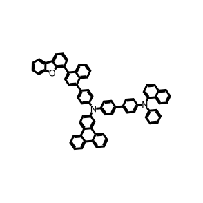 c1ccc(N(c2ccc(-c3ccc(N(c4ccc(-c5ccc(-c6cccc7c6oc6ccccc67)c6ccccc56)cc4)c4ccc5c6ccccc6c6ccccc6c5c4)cc3)cc2)c2cccc3ccccc23)cc1